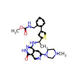 COC(=O)NCc1ccccc1-c1csc([C@@H](C)Nc2n[nH]c(=O)c3cnc(N4CCN(C)CC4)cc23)c1